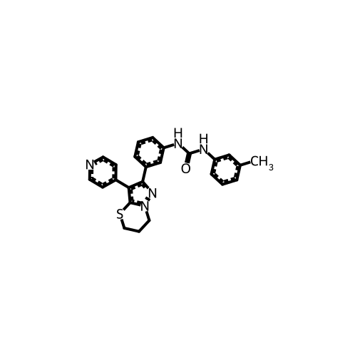 Cc1cccc(NC(=O)Nc2cccc(-c3nn4c(c3-c3ccncc3)SCCC4)c2)c1